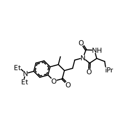 CCN(CC)c1ccc2c(c1)OC(=O)C(CCN1C(=O)NC(CC(C)C)C1=O)C2C